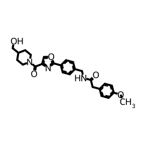 COc1ccc(CC(=O)NCc2ccc(-c3nc(C(=O)N4CCC(CO)CC4)co3)cc2)cc1